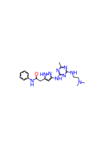 Cc1nc(NCCN(C)C)nc(Nc2cc(CC(=O)Nc3ccccc3)[nH]n2)n1